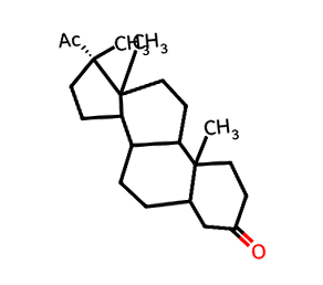 CC(=O)[C@@]1(C)CCC2C3CCC4CC(=O)CCC4(C)C3CCC21C